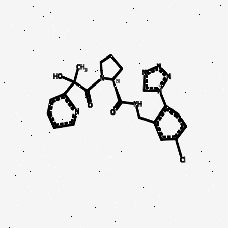 CC(O)(C(=O)N1CCC[C@H]1C(=O)NCc1cc(Cl)ccc1-n1cnnn1)c1ccccn1